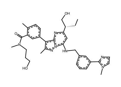 CC[C@@H](CO)c1cc(NCc2cccc(-c3nccn3C)c2)n2nc(C)c(-c3ccc(C)c(C(=O)N(C)CCCO)c3)c2n1